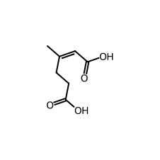 CC(=CC(=O)O)CCC(=O)O